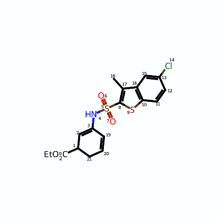 CCOC(=O)C1C=C(NS(=O)(=O)c2sc3ccc(Cl)cc3c2C)C=CC1